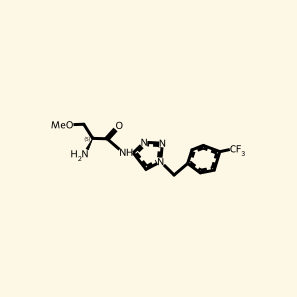 COC[C@H](N)C(=O)Nc1cn(Cc2ccc(C(F)(F)F)cc2)nn1